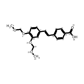 COCOc1ccc(/C=C/c2ccc(C(=O)O)cc2)cc1OCOC